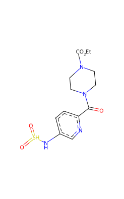 CCOC(=O)N1CCN(C(=O)c2ccc(N[SH](=O)=O)cn2)CC1